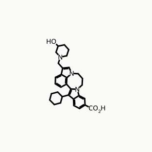 O=C(O)c1ccc2c(C3CCCCC3)c3n(c2c1)CCCn1cc(CN2CCCC(O)C2)c2cccc-3c21